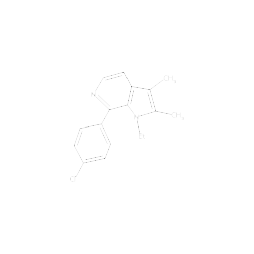 CCn1c(C)c(C)c2ccnc(-c3ccc(Cl)cc3)c21